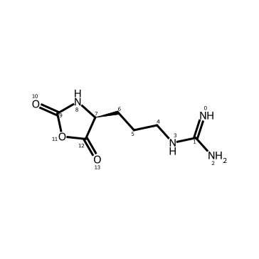 N=C(N)NCCC[C@@H]1NC(=O)OC1=O